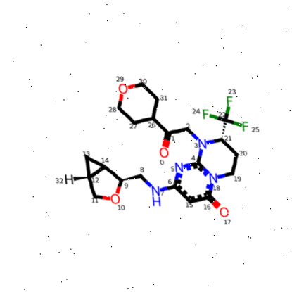 O=C(CN1c2nc(NC[C@H]3OC[C@@H]4CC43)cc(=O)n2CC[C@H]1C(F)(F)F)C1CCOCC1